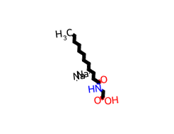 CCCCCCCCCCCC(=O)NCC(=O)O.[Na].[Na]